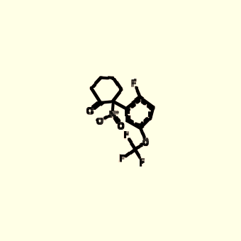 O=C1CCCCC1(c1cc(OC(F)(F)F)ccc1F)[N+](=O)[O-]